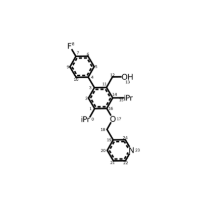 CC(C)c1cc(-c2ccc(F)cc2)c(CO)c(C(C)C)c1OCc1cccnc1